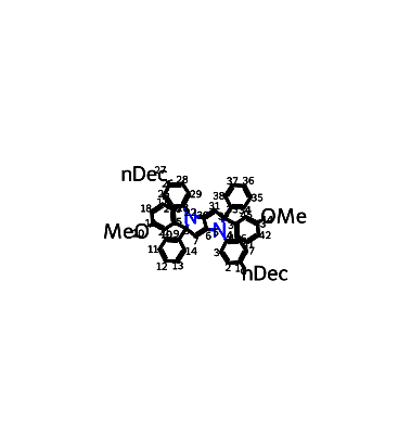 CCCCCCCCCCc1ccc(N2C3=CC(c4ccccc4)(c4cccc(OC)c4)N(c4ccc(CCCCCCCCCC)cc4)C3=CC2(c2ccccc2)c2cccc(OC)c2)cc1